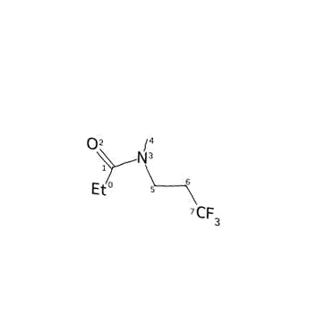 CCC(=O)N(C)CCC(F)(F)F